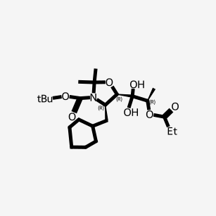 CCC(=O)O[C@H](C)C(O)(O)[C@@H]1OC(C)(C)N(C(=O)OC(C)(C)C)[C@@H]1CC1CCCCC1